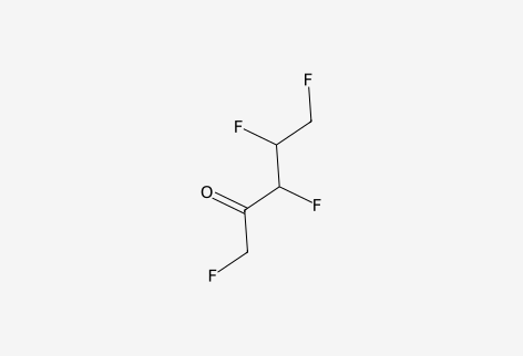 O=C(CF)C(F)C(F)CF